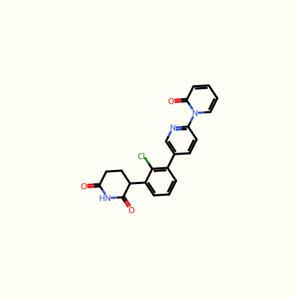 O=C1CCC(c2cccc(-c3ccc(-n4ccccc4=O)nc3)c2Cl)C(=O)N1